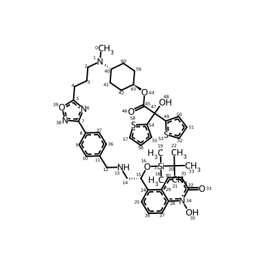 CN(CCCc1nc(-c2ccc(CNC[C@H](O[Si](C)(C)C(C)(C)C)c3cccc4c3ccc(=O)n4O)cc2)no1)[C@H]1CC[C@H](OC(=O)C(O)(c2cccs2)c2cccs2)CC1